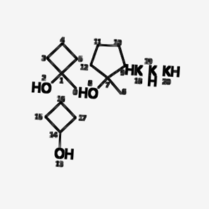 CC1(O)CCC1.CC1(O)CCCC1.OC1CCC1.[KH].[KH].[KH]